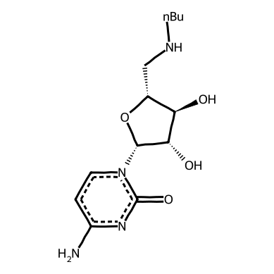 CCCCNC[C@H]1O[C@@H](n2ccc(N)nc2=O)[C@@H](O)[C@@H]1O